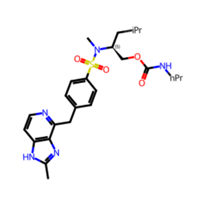 CCCNC(=O)OC[C@H](CC(C)C)N(C)S(=O)(=O)c1ccc(Cc2nccc3[nH]c(C)nc23)cc1